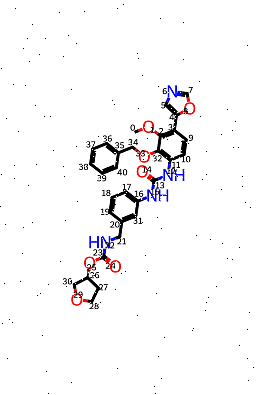 COc1c(-c2cnco2)ccc(NC(=O)Nc2cccc(CNC(=O)O[C@H]3CCOC3)c2)c1OCc1ccccc1